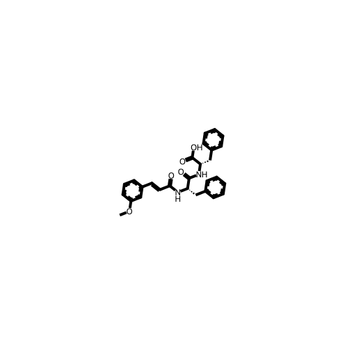 COc1cccc(/C=C/C(=O)N[C@@H](Cc2ccccc2)C(=O)N[C@@H](Cc2ccccc2)C(=O)O)c1